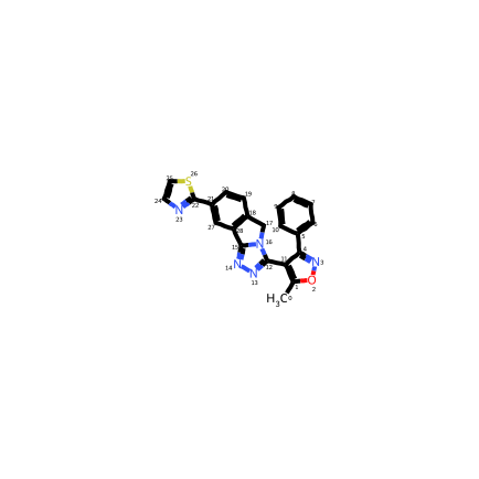 Cc1onc(-c2ccccc2)c1-c1nnc2n1Cc1ccc(-c3nccs3)cc1-2